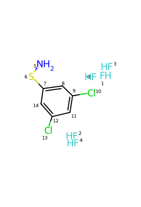 F.F.F.F.F.NSc1cc(Cl)cc(Cl)c1